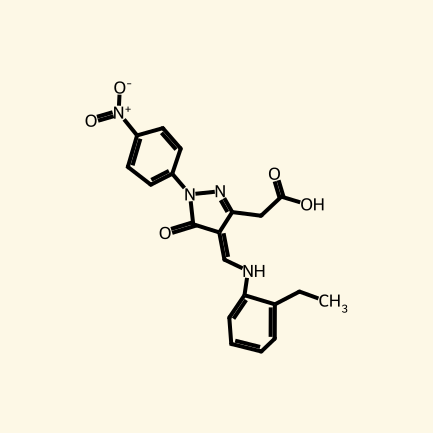 CCc1ccccc1N/C=C1/C(=O)N(c2ccc([N+](=O)[O-])cc2)N=C1CC(=O)O